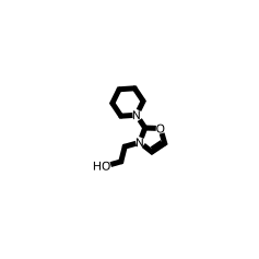 OCCN1C=COC1N1CCCCC1